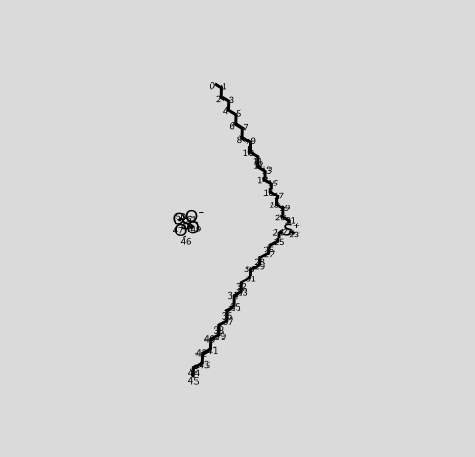 CCCCCCCCCCCCCCCCCCCCCC[S+](C)CCCCCCCCCCCCCCCCCCCCCC.COS(=O)(=O)[O-]